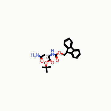 CC(C)(C)OC(=O)[C@H](CC(N)=O)NC(=O)OCC1c2ccccc2-c2ccccc21